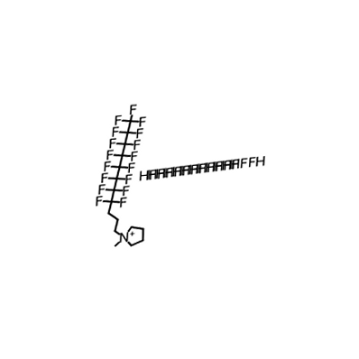 C[N+]1(CCCC(F)(F)C(F)(F)C(F)(F)C(F)(F)C(F)(F)C(F)(F)C(F)(F)C(F)(F)F)CCCC1.F.F.F.F.F.F.F.F.F.F.F.F.F